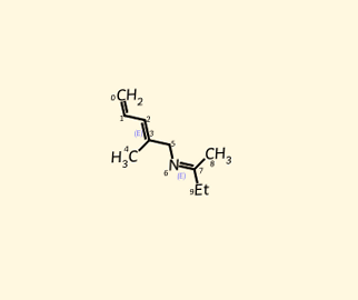 C=C/C=C(\C)C/N=C(\C)CC